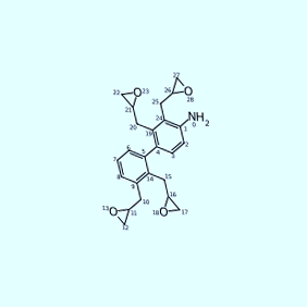 Nc1ccc(-c2cccc(CC3CO3)c2CC2CO2)c(CC2CO2)c1CC1CO1